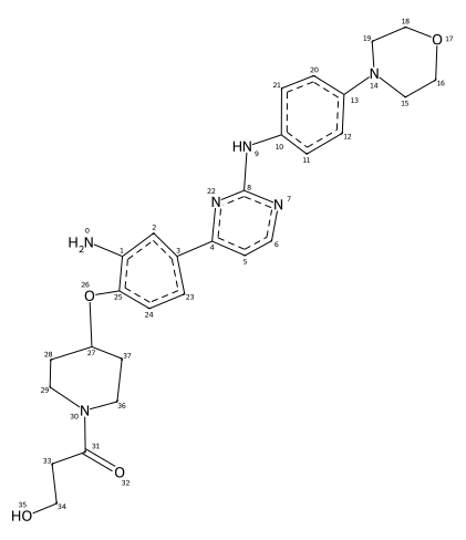 Nc1cc(-c2ccnc(Nc3ccc(N4CCOCC4)cc3)n2)ccc1OC1CCN(C(=O)CCO)CC1